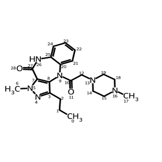 CCCc1nn(C)c2c1N(C(=O)CN1CCN(C)CC1)c1ccccc1NC2=O